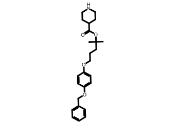 CC(C)(CCCOc1ccc(OCc2ccccc2)cc1)OC(=O)C1CCNCC1